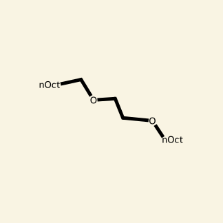 CCCCCCCCCOCCOCCCCCCCC